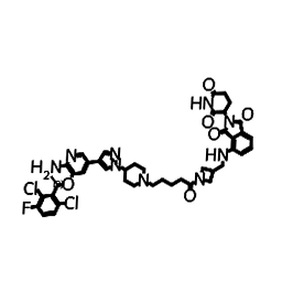 C[C@@H](Oc1cc(-c2cnn(C3CCN(CCCCC(=O)N4CC(CNc5cccc6c5C(=O)N(C5CCC(=O)NC5=O)C6=O)C4)CC3)c2)cnc1N)c1c(Cl)ccc(F)c1Cl